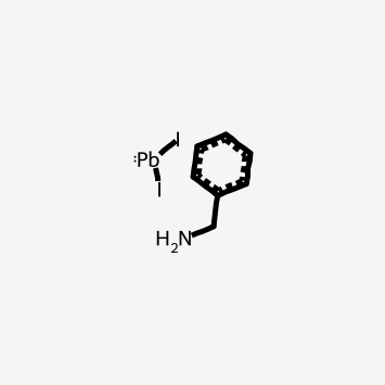 NCc1ccccc1.[I][Pb][I]